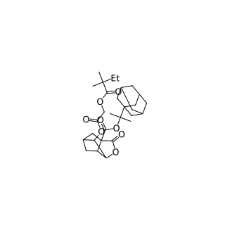 CCC(C)(C)C(=O)OCC(=O)OC1C2CC3C1OC(=O)C3(C(=O)OC(C)(C)C13CC4CC(CC(C4)C1)C3)C2